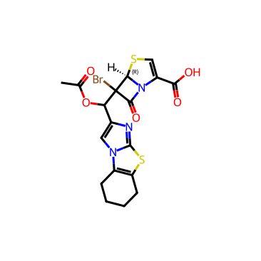 CC(=O)OC(c1cn2c3c(sc2n1)CCCC3)C1(Br)C(=O)N2C(C(=O)O)=CS[C@@H]21